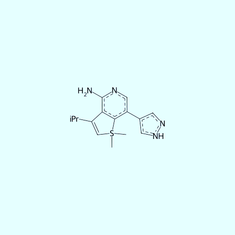 CC(C)C1=CS(C)(C)c2c(-c3cn[nH]c3)cnc(N)c21